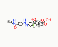 CCC(C)CNC(=O)c1ccc(N/N=C2\C=C[C@@]3(C)C(=C2)CC[C@H]2[C@@H]4C[C@@H](C)[C@@]5(C(=O)CO)OC[C@]45C[C@H](O)[C@@]23F)cc1